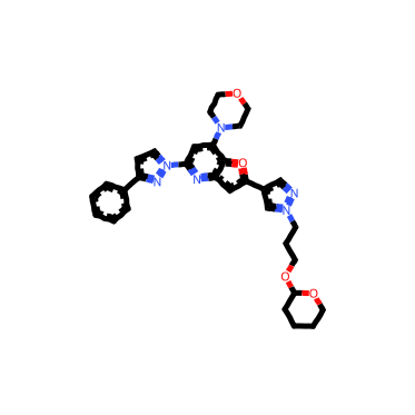 c1ccc(-c2ccn(-c3cc(N4CCOCC4)c4oc(-c5cnn(CCCOC6CCCCO6)c5)cc4n3)n2)cc1